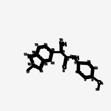 COc1ccc(NC(=O)C(=N)c2ccc3nn(C)cc3c2)cc1